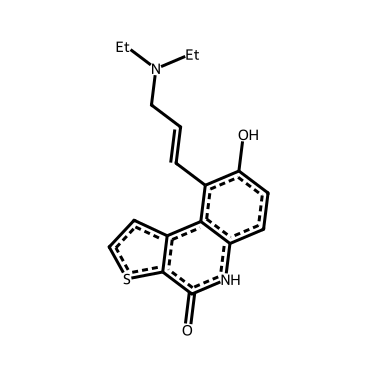 CCN(CC)CC=Cc1c(O)ccc2[nH]c(=O)c3sccc3c12